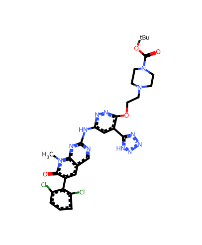 Cn1c(=O)c(-c2c(Cl)cccc2Cl)cc2cnc(Nc3cc(-c4nnn[nH]4)c(OCCN4CCN(C(=O)OC(C)(C)C)CC4)nn3)nc21